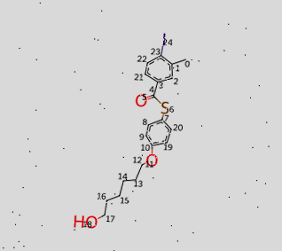 Cc1cc(C(=O)Sc2ccc(OCCCCCCO)cc2)ccc1I